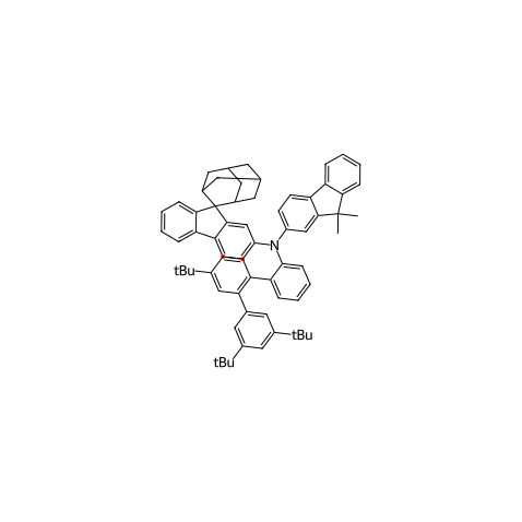 CC(C)(C)c1cc(-c2cc(C(C)(C)C)ccc2-c2ccccc2N(c2ccc3c(c2)C(C)(C)c2ccccc2-3)c2ccc3c(c2)C2(c4ccccc4-3)C3CC4CC(C3)CC2C4)cc(C(C)(C)C)c1